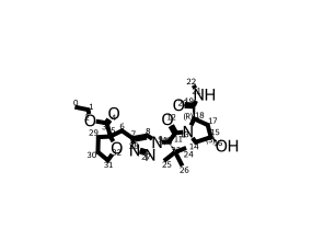 CCOC(=O)C1(Cc2cn([C@H](C(=O)N3C[C@@H](O)C[C@@H]3C(=O)NC)C(C)(C)C)nn2)CCCO1